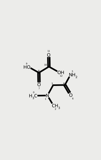 CN(C)CC(N)=O.O=C(O)C(=O)O